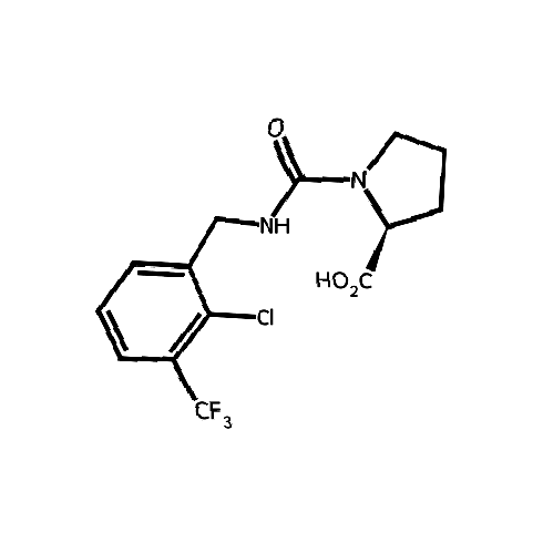 O=C(O)[C@@H]1CCCN1C(=O)NCc1cccc(C(F)(F)F)c1Cl